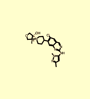 Cc1cc(Nc2ncc3cc(Cl)c(C4CCN([C@]5(C)COC[C@@H]5O)CC4)cc3n2)n(C)n1